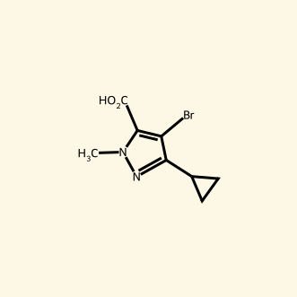 Cn1nc(C2CC2)c(Br)c1C(=O)O